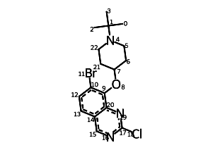 CC(C)(C)N1CCC(Oc2c(Br)ccc3cnc(Cl)nc23)CC1